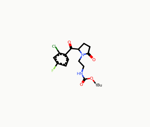 CC(C)(C)OC(=O)NCCN1C(=O)CCC1C(=O)c1ccc(F)cc1Cl